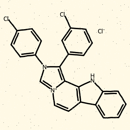 Clc1ccc(-n2c[n+]3ccc4c5ccccc5[nH]c4c3c2-c2cccc(Cl)c2)cc1.[Cl-]